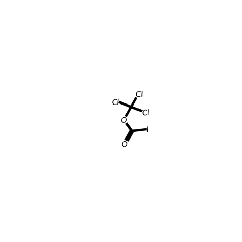 O=C(I)OC(Cl)(Cl)Cl